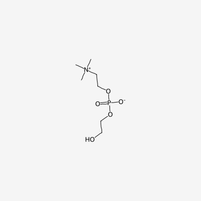 C[N+](C)(C)CCOP(=O)([O-])OCCO